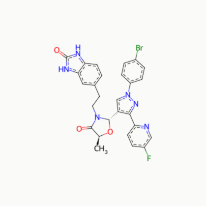 C[C@@H]1O[C@@H](c2cn(-c3ccc(Br)cc3)nc2-c2ccc(F)cn2)N(CCc2ccc3[nH]c(=O)[nH]c3c2)C1=O